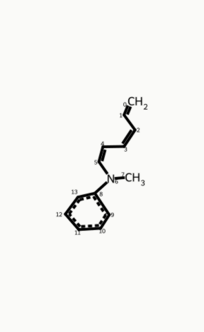 C=C/C=C\C=C/N(C)c1ccccc1